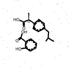 CC(C)Cc1ccc([C@H](C)C(=O)O)cc1.O=C(O)c1ccccc1O